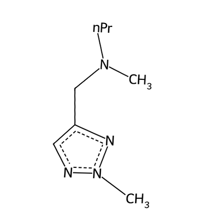 CCCN(C)Cc1cnn(C)n1